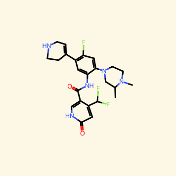 CC1CN(c2cc(F)c(C3=CCNCC3)cc2NC(=O)c2c[nH]c(=O)cc2C(F)F)CCN1C